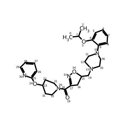 CC(C)Oc1ccccc1N1CCN(CC2CC(C(=O)N3CCC(Oc4ccccn4)CC3)=NO2)CC1